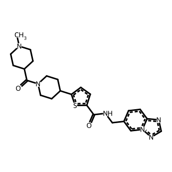 CN1CCC(C(=O)N2CCC(c3ccc(C(=O)NCc4ccc5ncnn5c4)s3)CC2)CC1